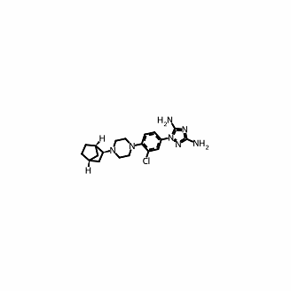 Nc1nc(N)n(-c2ccc(N3CCN([C@H]4C[C@@H]5CC[C@H]4C5)CC3)c(Cl)c2)n1